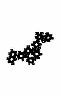 c1ccc(-n2c3ccc(-c4cccc5ccccc45)cc3c3ccc4c(c5ccccc5n4-c4ccc(-c5cccc6c5oc5ccccc56)cc4)c32)cc1